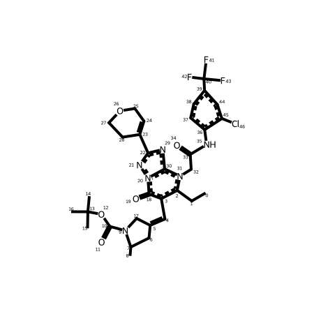 CCc1c(C=C2CC(C)N(C(=O)OC(C)(C)C)C2)c(=O)n2nc(C3=CCOCC3)nc2n1CC(=O)Nc1ccc(C(F)(F)F)cc1Cl